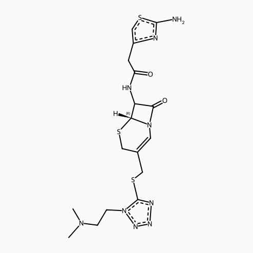 CN(C)CCn1nnnc1SCC1=CN2C(=O)C(NC(=O)Cc3csc(N)n3)[C@H]2SC1